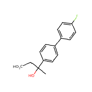 CC(O)(CC(=O)O)c1ccc(-c2ccc(F)cc2)cc1